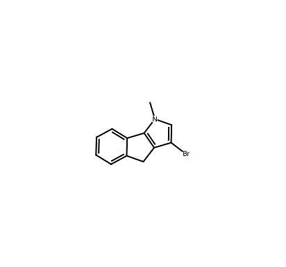 Cn1cc(Br)c2c1-c1ccccc1C2